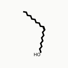 CCCCCCCCC/C=C\CCCCCCCCO